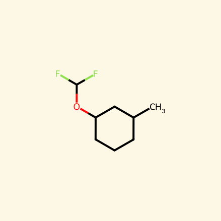 CC1CCCC(OC(F)F)C1